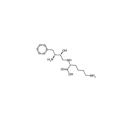 NCCCCC(NC[C@H](O)[C@@H](N)Cc1ccccc1)C(=O)O